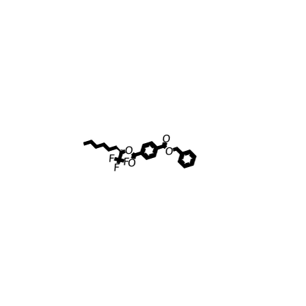 CCCCCC[C@@H](OC(=O)c1ccc(C(=O)OCc2ccccc2)cc1)C(F)(F)F